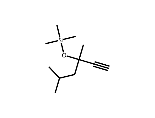 C#CC(C)(CC(C)C)O[Si](C)(C)C